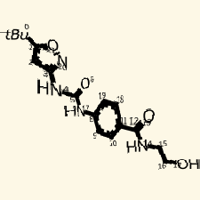 CC(C)(C)c1cc(NC(=O)Nc2ccc(C(=O)NCCO)cc2)no1